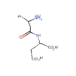 CC(C)C(N)C(=O)NC(CC(=O)O)C(=O)O